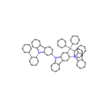 c1ccc(-c2ccccc2-n2c3ccccc3c3ccc(-n4c5ccccc5c5cc(-n6c7ccccc7c7ccccc76)c([Si](c6ccccc6)(c6ccccc6)c6ccccc6)cc54)cc32)cc1